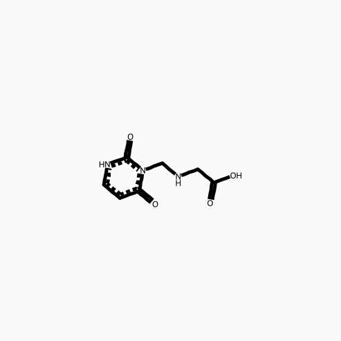 O=C(O)CNCn1c(=O)cc[nH]c1=O